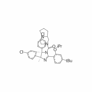 CC(C)Oc1cc(C(C)(C)C)ccc1C1=N[C@@](C)(c2ccc(Cl)cc2)[C@@](C)(c2ccc(Cl)cc2)N1C(=O)N1CCN2CCCC2C1